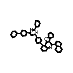 c1ccc(-c2ccc(-c3cc(-c4ccc(-c5cccc6nc(-c7cccc8ccccc78)c7c8ccccc8oc7c56)cc4)nc(-c4ccccc4)n3)cc2)cc1